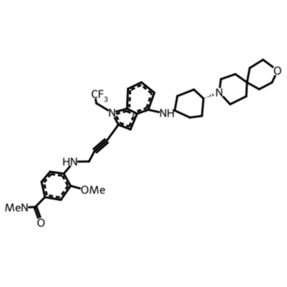 CNC(=O)c1ccc(NCC#Cc2cc3c(N[C@H]4CC[C@@H](N5CCC6(CCOCC6)CC5)CC4)cccc3n2CC(F)(F)F)c(OC)c1